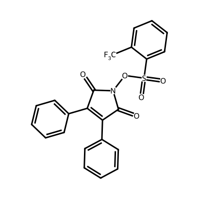 O=C1C(c2ccccc2)=C(c2ccccc2)C(=O)N1OS(=O)(=O)c1ccccc1C(F)(F)F